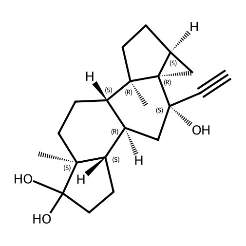 C#C[C@@]1(O)C[C@H]2[C@@H]3CCC(O)(O)[C@@]3(C)CC[C@@H]2[C@@]2(C)CC[C@H]3C[C@]312